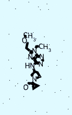 CCn1c(CCOC)nc2c(NC3CCN(C4(C=O)CC4)C3)ncnc21